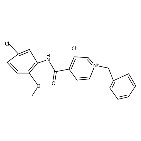 COc1ccc(Cl)cc1NC(=O)c1cc[n+](Cc2ccccc2)cc1.[Cl-]